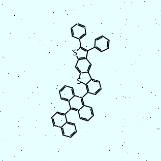 c1ccc(-c2sc3cc4sc5c(-c6c7ccccc7c(-c7cccc8ccccc78)c7ccccc67)cccc5c4cc3c2-c2ccccc2)cc1